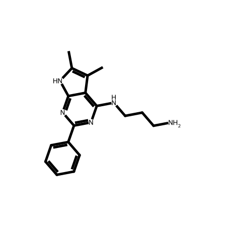 Cc1[nH]c2nc(-c3ccccc3)nc(NCCCN)c2c1C